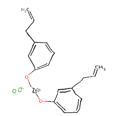 C=CCc1cccc([O][Zr+2][O]c2cccc(CC=C)c2)c1.[Cl-].[Cl-]